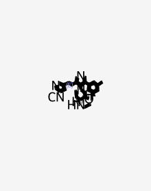 Cc1cc(F)cc(-c2cncc(/C=C/c3cncc(C#N)c3)c2N2CC[C@H]3NCCO[C@@H]3C2)c1